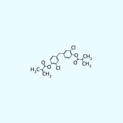 C=C(C)C(=O)Oc1ccc(Cc2ccc(OC(=O)C(=C)C)c(Cl)c2)cc1Cl